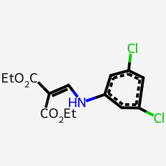 CCOC(=O)C(=CNc1cc(Cl)cc(Cl)c1)C(=O)OCC